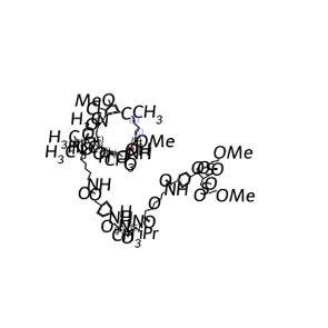 COCCS(=O)(=O)CC(CS(=O)(=O)CCOC)C(=O)c1ccc(C(=O)NCCOCCC(=O)N[C@H](C(=O)N[C@@H](C)C(=O)Nc2ccc(COC(=O)NCCCCCC(=O)N(C)[C@@H](C)C(=O)O[C@H]3CC(=O)N(C)c4cc(cc(OC)c4Cl)C/C(C)=C/C=C/[C@@H](OC)[C@@]4(O)CC(OC(=O)N4)[C@@H](C)[C@@H]4O[C@@]34C)cc2)C(C)C)cc1